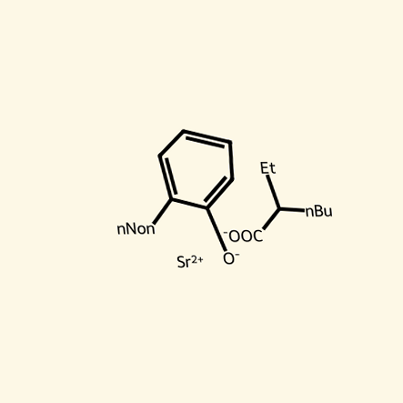 CCCCC(CC)C(=O)[O-].CCCCCCCCCc1ccccc1[O-].[Sr+2]